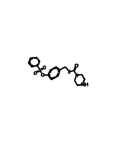 O=C(SCc1ccc(OS(=O)(=O)c2ccccc2)cc1)N1CCNCC1